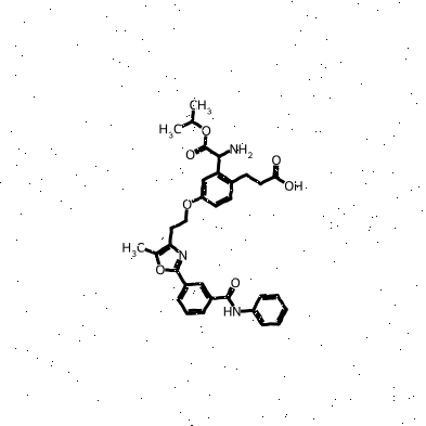 Cc1oc(-c2cccc(C(=O)Nc3ccccc3)c2)nc1CCOc1ccc(CCC(=O)O)c(C(N)C(=O)OC(C)C)c1